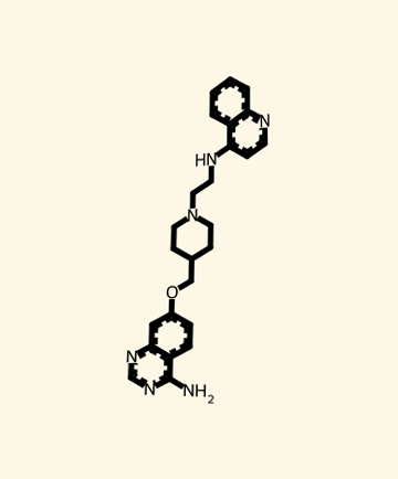 Nc1ncnc2cc(OCC3CCN(CCNc4ccnc5ccccc45)CC3)ccc12